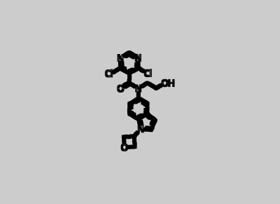 O=C(c1c(Cl)ncnc1Cl)N(CCO)c1ccc2c(ccn2C2COC2)c1